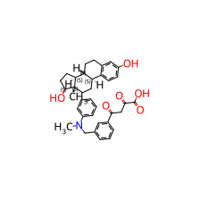 CN(Cc1cccc(C(=O)CC(=O)C(=O)O)c1)c1ccccc1.C[C@]12CC[C@@H]3c4ccc(O)cc4CC[C@H]3[C@@H]1CC[C@@H]2O